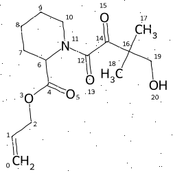 C=CCOC(=O)C1CCCCN1C(=O)C(=O)C(C)(C)CO